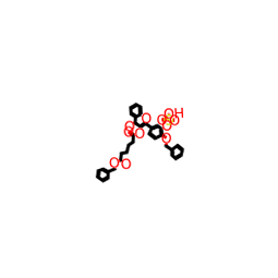 O=C(CCCCC(=O)Oc1c(-c2ccc(OCc3ccccc3)c(OS(=O)(=O)O)c2)oc2ccccc2c1=O)OCc1ccccc1